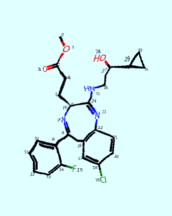 COC(=O)CC[C@@H]1N=C(c2ccccc2F)c2cc(Cl)ccc2N=C1NCC(O)C1CC1